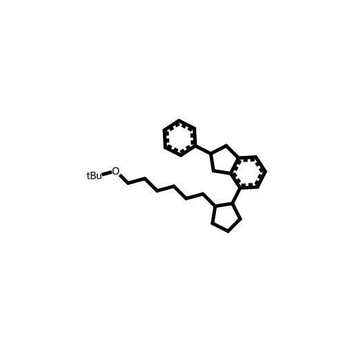 CC(C)(C)OCCCCCCC1CCCC1c1cccc2c1CC(c1ccccc1)C2